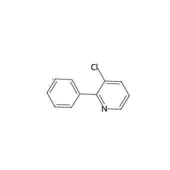 Clc1cccnc1-c1c[c]ccc1